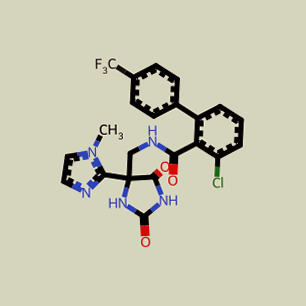 Cn1ccnc1C1(CNC(=O)c2c(Cl)cccc2-c2ccc(C(F)(F)F)cc2)NC(=O)NC1=O